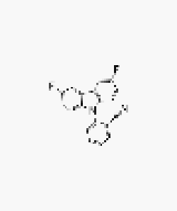 N#Cc1ccccc1-n1c2ccc(F)cc2c2cc(F)ccc21